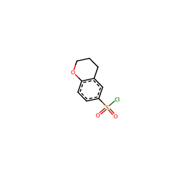 O=S(=O)(Cl)c1ccc2c(c1)CCCO2